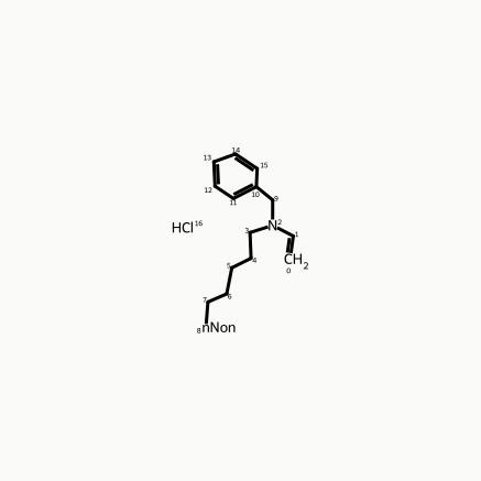 C=CN(CCCCCCCCCCCCCC)Cc1ccccc1.Cl